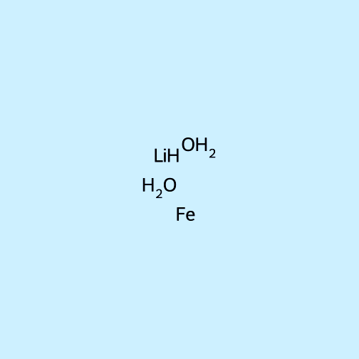 O.O.[Fe].[LiH]